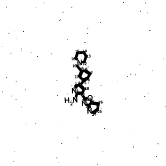 Nc1ncc(-c2cccc(CN3CCCCC3)c2)cc1-c1nc2ncccc2o1